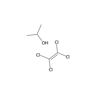 CC(C)O.ClC(Cl)=C(Cl)Cl